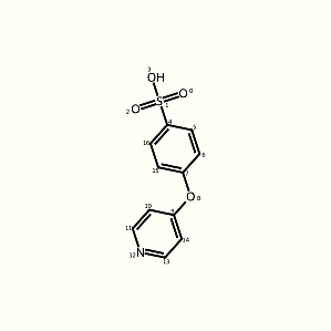 O=S(=O)(O)c1ccc(Oc2ccncc2)cc1